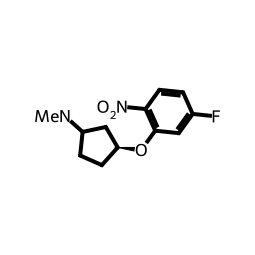 CNC1CC[C@H](Oc2cc(F)ccc2[N+](=O)[O-])C1